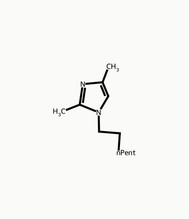 CCCCCCCn1cc(C)nc1C